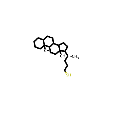 C[C@H](CCCS)C1CCC2C3CCC4CCCCC4(C)C3CCC21C